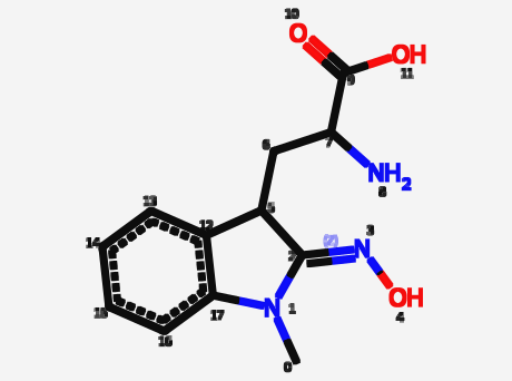 CN1/C(=N\O)C(CC(N)C(=O)O)c2ccccc21